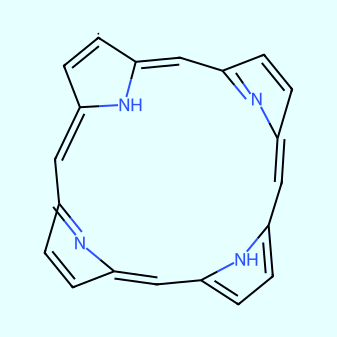 [c]1cc2cc3nc(cc4ccc(cc5nc(cc1[nH]2)C=C5)[nH]4)C=C3